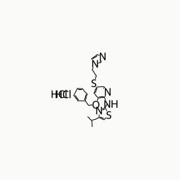 CC(C)c1csc(Nc2ncc(SCCn3ccnc3)cc2OCc2ccccc2)n1.Cl.Cl